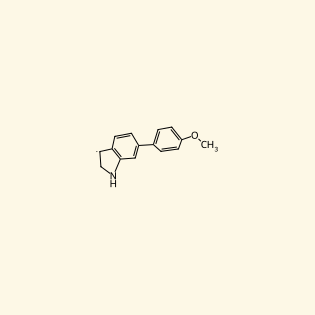 COc1ccc(-c2ccc3c(c2)NC[CH]3)cc1